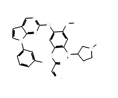 C=CC(=O)Nc1cc(Nc2ncc3ccn(-c4cccc(F)c4)c3n2)c(OC)cc1N(C)C1CCN(C)C1